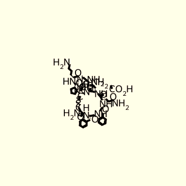 CC(=O)O.NCCCC[C@H](NC(=O)[C@@H]1CCCN1C(=O)[C@@H]1CSSC[C@H](N)C(=O)N[C@@H](Cc2ccccc2)C(=O)N[C@@H](Cc2ccccc2)C(=O)N[C@@H](CCC(N)=O)C(=O)N[C@@H](CC(N)=O)C(=O)N1)C(=O)NCC(N)=O